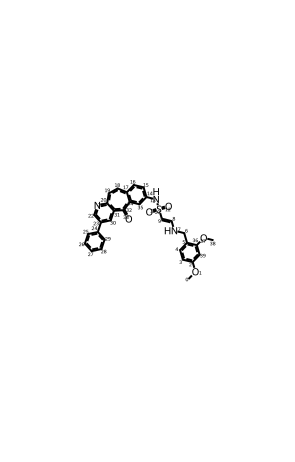 COc1ccc(CN/C=C/S(=O)(=O)Nc2ccc3ccc4ncc(-c5ccccc5)cc4c(=O)c3c2)c(OC)c1